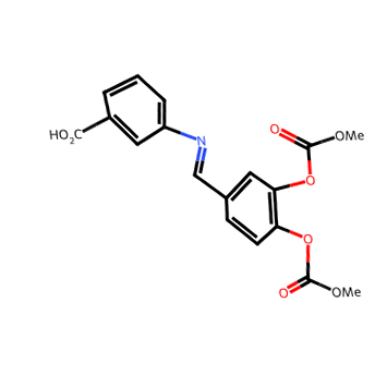 COC(=O)Oc1ccc(C=Nc2cccc(C(=O)O)c2)cc1OC(=O)OC